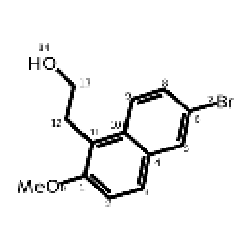 COc1ccc2cc(Br)ccc2c1CCO